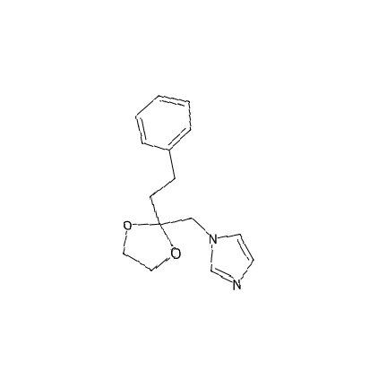 c1ccc(CCC2(Cn3ccnc3)OCCO2)cc1